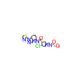 COCC(=O)NCc1ccc(Cl)c(C(=O)Nc2cccc3c2cnn3-c2nccs2)c1